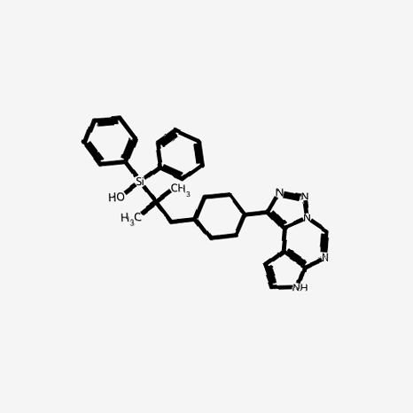 CC(C)(CC1CCC(c2nnn3cnc4[nH]ccc4c23)CC1)[Si](O)(c1ccccc1)c1ccccc1